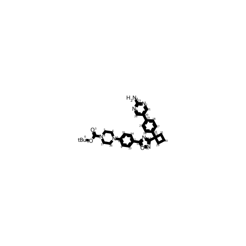 CC(C)(C)OC(=O)N1CCN(c2ccc(-c3nc(C4(c5ccc(-c6cnc(N)nc6)cc5)CCC4)no3)cc2)CC1